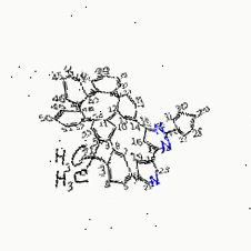 CC1(C)c2ccccc2-c2cc3c4cc(-c5cc(-c6cccnc6)nc(-c6ccccc6)n5)ccc4c4ccccc4c4ccccc4c4ccccc4c3cc21